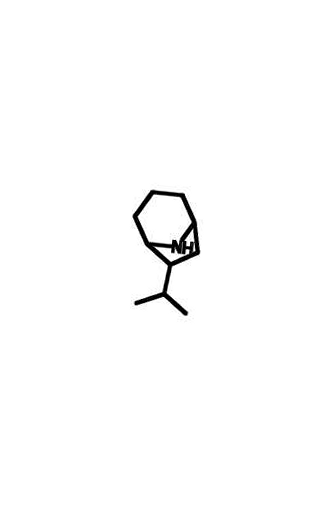 CC(C)C1CC2CCCC1N2